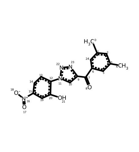 Cc1cc(C)cc(C(=O)c2cn(-c3ccc([N+](=O)[O-])cc3O)nn2)c1